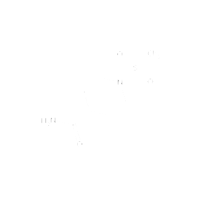 NC(=O)C1CCN(S(=O)(=O)C(F)(F)F)CC1